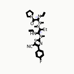 C=C/N=C(/C(=O)N1CCCC1)N(C)N(C)/C(CC)=C(\NC=C)N(C)c1nc(-c2ccc(F)cc2)c(C#N)s1